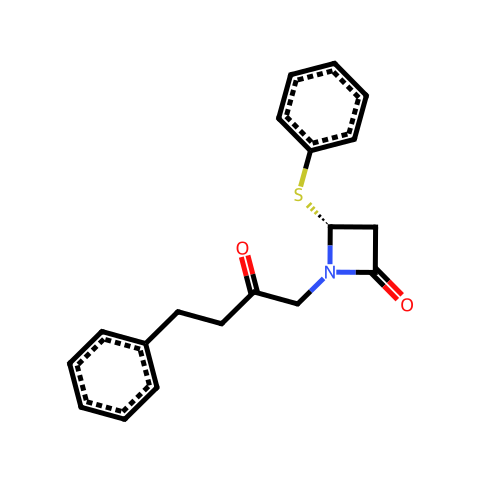 O=C(CCc1ccccc1)CN1C(=O)C[C@H]1Sc1ccccc1